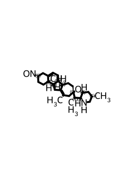 CC1=C2C[C@H]3[C@@H](CC=C4C[C@@H](N=O)CC[C@@]43C)[C@@H]2CC[C@@]2(C1)O[C@@H]1C[C@H](C)CN[C@H]1[C@H]2C